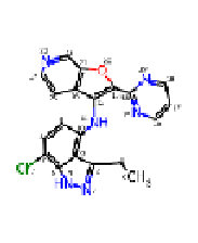 CCc1n[nH]c2c(Cl)ccc(Nc3c(-c4ncccn4)oc4cnccc34)c12